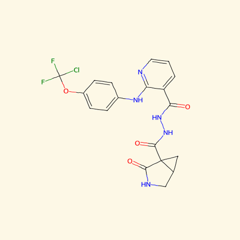 O=C(NNC(=O)C12CC1CNC2=O)c1cccnc1Nc1ccc(OC(F)(F)Cl)cc1